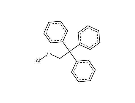 [Al][O]CC(c1ccccc1)(c1ccccc1)c1ccccc1